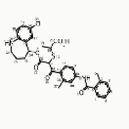 Cc1ccccc1C(=O)Nc1ccc(C(=O)C(SC(C)C(=O)O)C(=O)OC2CCCNc3ccc(Cl)cc32)c(C)c1